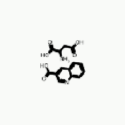 NC(CC(=O)O)C(=O)O.O=C(O)c1cnc2ccccc2c1